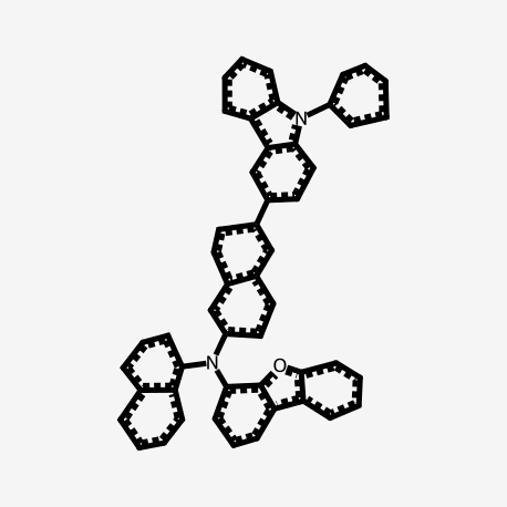 c1ccc(-n2c3ccccc3c3cc(-c4ccc5cc(N(c6cccc7ccccc67)c6cccc7c6oc6ccccc67)ccc5c4)ccc32)cc1